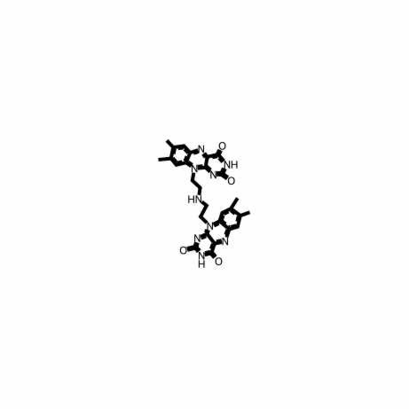 Cc1cc2nc3c(=O)[nH]c(=O)nc-3n(CCNCCn3c4nc(=O)[nH]c(=O)c-4nc4cc(C)c(C)cc43)c2cc1C